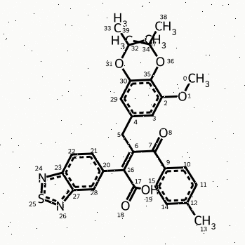 COc1cc(CC(C(=O)c2ccc(C)cc2)=C(C(=O)O)c2ccc3nsnc3c2)cc(OC(C)C)c1OC(C)C